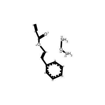 C=CC(=O)OC=Cc1ccccc1.[SiH3]O[SiH3]